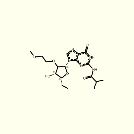 COCCOC1[C@@H](O)[C@@H](CI)O[C@H]1n1cnc2c(=O)[nH]c(NC(=O)C(C)C)nc21